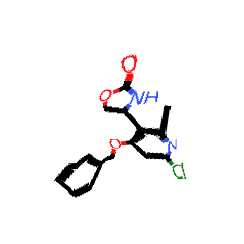 Cc1nc(Cl)cc(OCc2ccccc2)c1C1COC(=O)N1